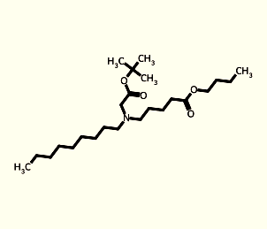 CCCCCCCCCN(CCCCC(=O)OCCCC)CC(=O)OC(C)(C)C